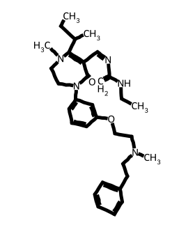 C=C(/N=C\C1=C(C(C)CC)N(C)CCN(c2cccc(OCCN(C)CCc3ccccc3)c2)C1=O)NCC